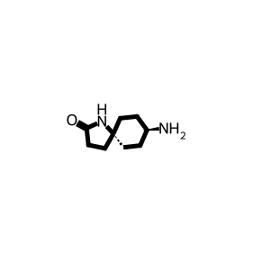 N[C@H]1CC[C@@]2(CCC(=O)N2)CC1